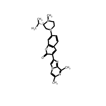 Cc1cn2cc(-c3cc4ccc(N5CCN(C)[C@@H](C(C)C)C5)cc4oc3=O)nc2c(C)n1